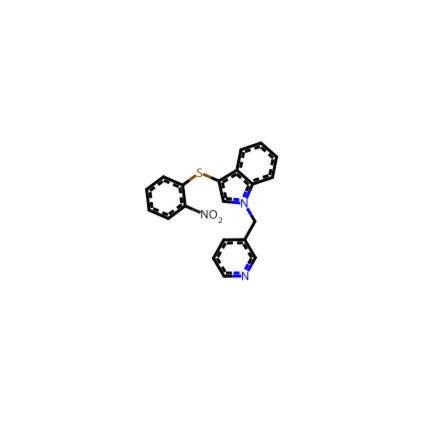 O=[N+]([O-])c1ccccc1Sc1cn(Cc2cccnc2)c2ccccc12